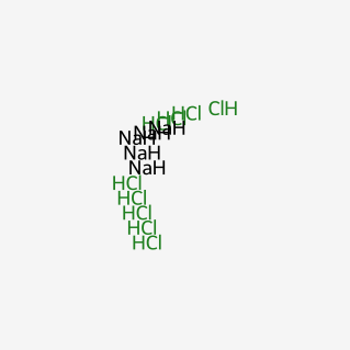 Cl.Cl.Cl.Cl.Cl.Cl.Cl.Cl.Cl.[NaH].[NaH].[NaH].[NaH].[NaH]